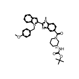 COc1ccc(Cn2c(-c3nc4cc(C(=O)N5CCC[C@@H](NC(=O)OC(C)(C)C)C5)ccc4n3C)cc3ccccc32)cc1